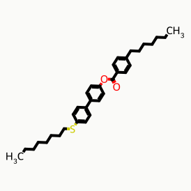 CCCCCCCCSc1ccc(-c2ccc(OC(=O)c3ccc(CCCCCCC)cc3)cc2)cc1